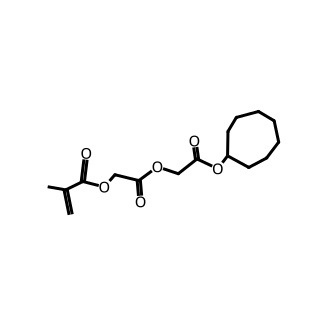 C=C(C)C(=O)OCC(=O)OCC(=O)OC1CCCCCCC1